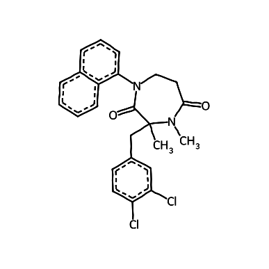 CN1C(=O)CCN(c2cccc3ccccc23)C(=O)C1(C)Cc1ccc(Cl)c(Cl)c1